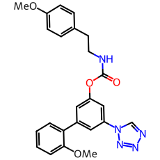 COc1ccc(CCNC(=O)Oc2cc(-c3ccccc3OC)cc(-n3cnnn3)c2)cc1